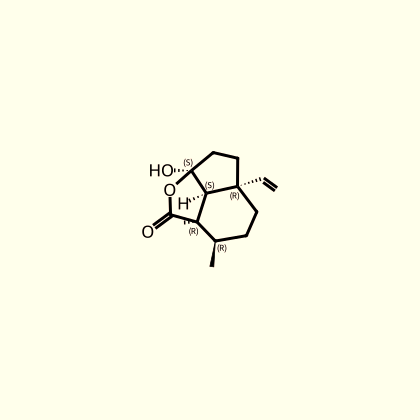 C=C[C@@]12CC[C@@H](C)[C@@]3(C)C(=O)O[C@@](O)(CC1)[C@@H]23